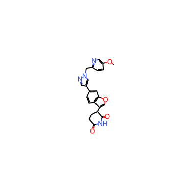 COc1ccc(Cn2cc(-c3ccc4c(C5CCC(=O)NC5=O)coc4c3)cn2)nc1